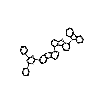 c1ccc(-c2nc(-c3ccccc3)nc(-c3ccc4c(c3)oc3c(-c5cccc6sc7c(-n8c9ccccc9c9ccccc98)cccc7c56)cccc34)n2)cc1